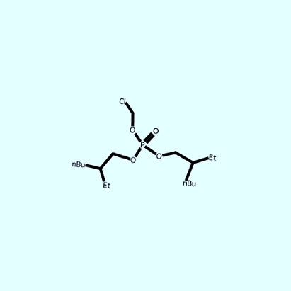 CCCCC(CC)COP(=O)(OCCl)OCC(CC)CCCC